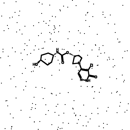 O=C(N[C@H]1CC[C@H](O)CC1)O[C@@H]1CCN(c2cn[nH]c(=O)c2Cl)C1